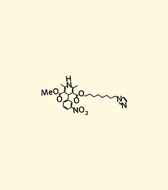 COC(=O)C1=C(C)NC(C)=C(C(=O)OCCCCCCCCn2ccnc2)C1c1cccc([N+](=O)[O-])c1